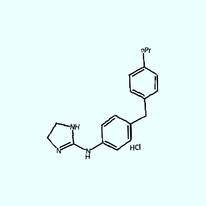 CCCc1ccc(Cc2ccc(NC3=NCCN3)cc2)cc1.Cl